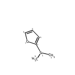 C[Si](C)c1ccco1